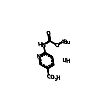 CC(C)(C)OC(=O)Nc1ccc(C(=O)O)cn1.[LiH]